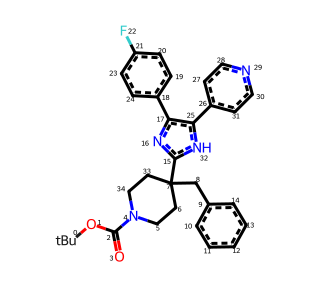 CC(C)(C)OC(=O)N1CCC(Cc2ccccc2)(c2nc(-c3ccc(F)cc3)c(-c3ccncc3)[nH]2)CC1